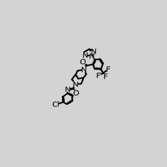 O=C(c1cc(C(F)(F)F)ccc1-n1nccn1)N1CC2CC(C1)CN(c1nc3cc(Cl)ccc3o1)C2